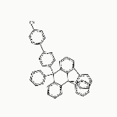 N#Cc1ccc(-c2ccc(C3(c4ccccc4)c4ccccc4C4(c5ccccc5)c5ccccc5-c5cccc3c54)cc2)cc1